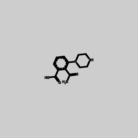 NC(=O)c1c(C(=O)O)cccc1N1CCNCC1